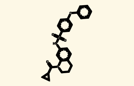 O=C(C1CC1)N1CCCc2ccc(NS(=O)(=O)c3ccc(Oc4ccccc4)cc3)cc21